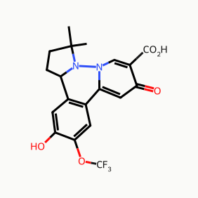 CC1(C)CCC2c3cc(O)c(OC(F)(F)F)cc3-c3cc(=O)c(C(=O)O)cn3N21